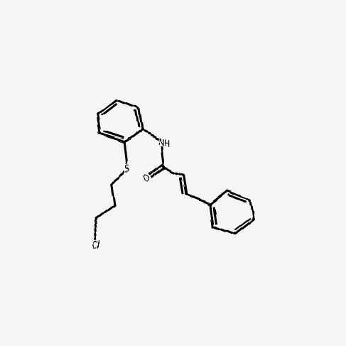 O=C(C=Cc1ccccc1)Nc1ccccc1SCCCCl